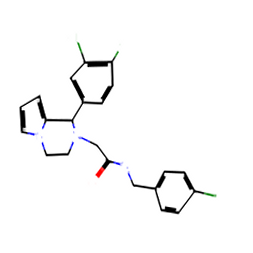 O=C(CN1CCn2cccc2C1c1ccc(Cl)c(Cl)c1)NCc1ccc(F)cc1